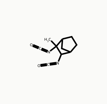 CC1(N=C=O)C2CCC(C2)C1N=C=O